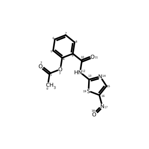 CC(=O)Oc1ccccc1C(=O)Nc1ncc(N=O)s1